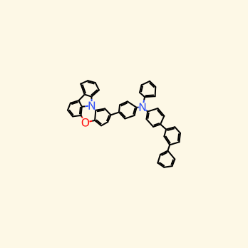 c1ccc(-c2cccc(-c3ccc(N(c4ccccc4)c4ccc(-c5ccc6c(c5)-n5c7ccccc7c7cccc(c75)O6)cc4)cc3)c2)cc1